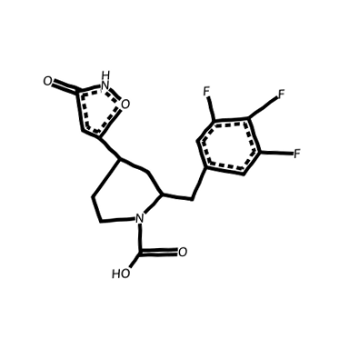 O=C(O)N1CCC(c2cc(=O)[nH]o2)CC1Cc1cc(F)c(F)c(F)c1